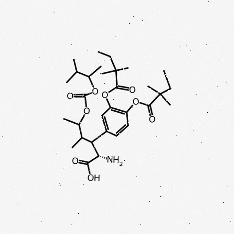 CCC(C)(C)C(=O)Oc1ccc(C(C(C)C(C)OC(=O)OC(C)C(C)C)[C@H](N)C(=O)O)cc1OC(=O)C(C)(C)CC